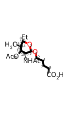 CC[C@H]1O[C@@H](OCCCCC(=O)O)[C@H](NC(C)=O)C(OC(C)=O)[C@H]1C